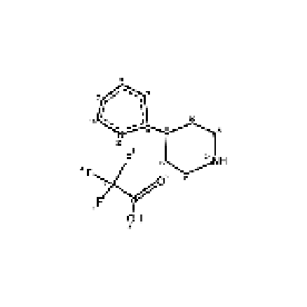 O=C(O)C(F)(F)F.c1ccc(C2CCNCC2)nc1